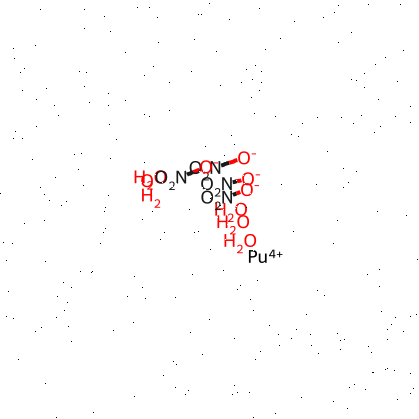 O.O.O.O.O.O=[N+]([O-])[O-].O=[N+]([O-])[O-].O=[N+]([O-])[O-].O=[N+]([O-])[O-].[Pu+4]